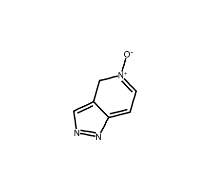 [O-][N+]1=CC=C2N=NC=C2C1